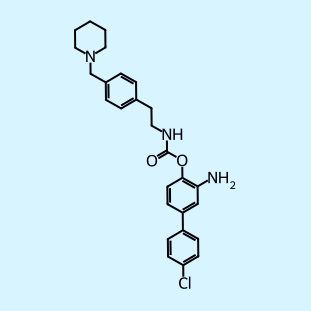 Nc1cc(-c2ccc(Cl)cc2)ccc1OC(=O)NCCc1ccc(CN2CCCCC2)cc1